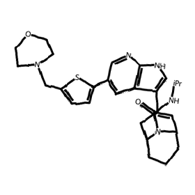 CC(C)NC(=O)N1C2C=C(c3c[nH]c4ncc(-c5ccc(CN6CCOCC6)s5)cc34)CC1CCC2